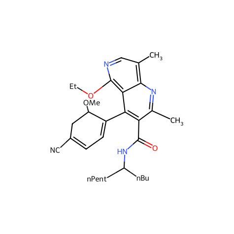 CCCCCC(CCCC)NC(=O)c1c(C)nc2c(C)cnc(OCC)c2c1C1=CC=C(C#N)CC1OC